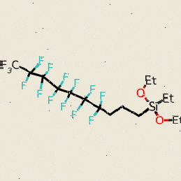 CCO[Si](CC)(CCCC(F)(F)C(F)(F)C(F)(F)C(F)(F)C(F)(F)C(F)(F)C(F)(F)F)OCC